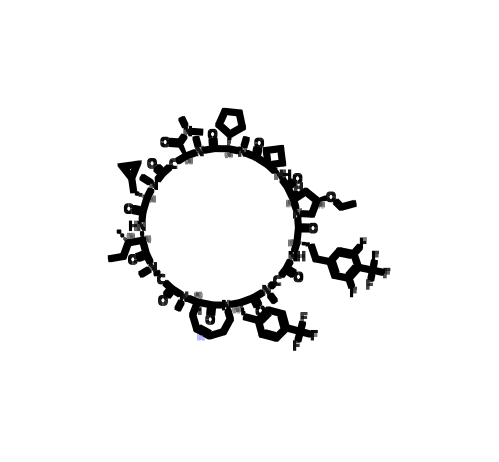 CCO[C@@H]1C[C@H]2C(=O)NC3(CCC3)C(=O)N(C)[C@@H](C3CCCC3)C(=O)N(C)[C@H](C(=O)N(C)C)CC(=O)N(C)[C@@H](CC3CC3)C(=O)N[C@@H]([C@@H](C)CC)C(=O)N(C)CC(=O)N(C)[C@H]3C/C=C\CCN(C3=O)[C@@H](Cc3ccc(C(F)(F)F)cc3)C(=O)N(C)CC(=O)N[C@@H](CCc3cc(F)c(C(F)(F)F)c(F)c3)C(=O)N2C1